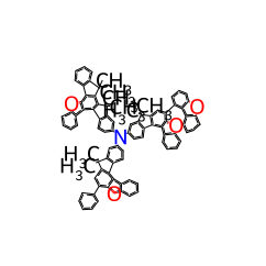 CC1(C)c2cc(N(c3ccc4c(c3)C(C)(C)c3cc(-c5cccc6oc7ccccc7c56)c5oc6ccccc6c5c3-4)c3ccc4c(c3)C(C)(C)c3c5c(c6oc7ccccc7c6c3-4)-c3ccccc3C5(C)C)ccc2-c2c1cc(-c1ccccc1)c1oc3ccccc3c21